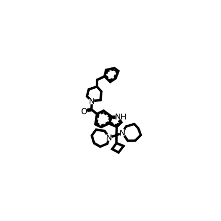 O=C(c1ccc2c(C(C3CCC3)(N3CCCCCC3)N3CCCCCC3)c[nH]c2c1)N1CCC(Cc2ccccc2)CC1